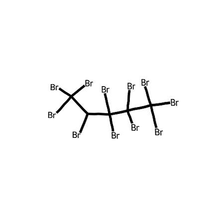 Br[C](C(Br)(Br)Br)C(Br)(Br)C(Br)(Br)C(Br)(Br)Br